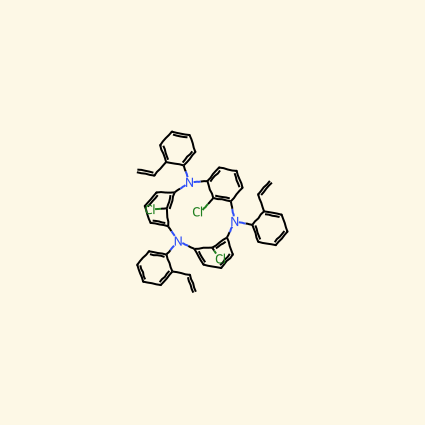 C=Cc1ccccc1N1c2cccc(c2Cl)N(c2ccccc2C=C)c2cccc(c2Cl)N(c2ccccc2C=C)c2cccc1c2Cl